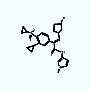 Cn1ccc(NC(=O)/C(=C/C2CCC(O)C2)c2ccc(S(=O)(=O)C3CC3)c(C3CC3)c2)n1